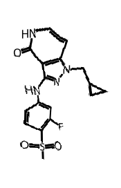 CS(=O)(=O)c1ccc(Nc2nn(CC3CC3)c3cc[nH]c(=O)c23)cc1F